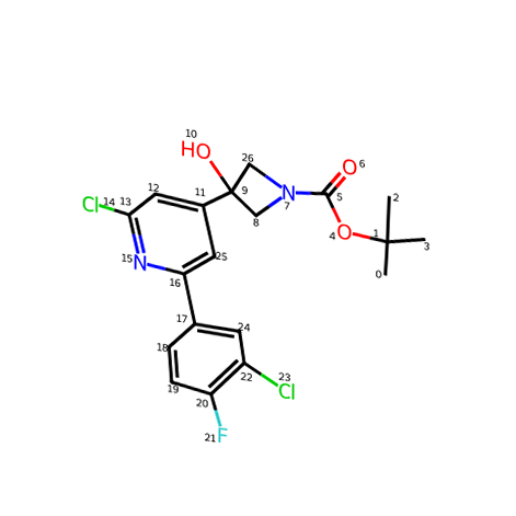 CC(C)(C)OC(=O)N1CC(O)(c2cc(Cl)nc(-c3ccc(F)c(Cl)c3)c2)C1